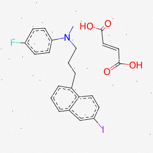 CN(CCCc1cccc2cc(I)ccc12)c1ccc(F)cc1.O=C(O)C=CC(=O)O